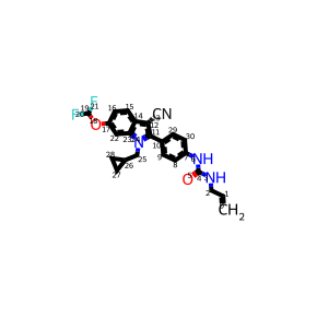 C=CCNC(=O)Nc1ccc(-c2c(C#N)c3ccc(OC(F)F)cc3n2CC2CC2)cc1